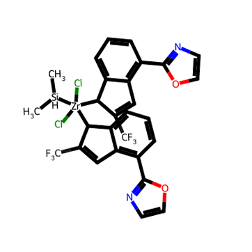 C[SiH](C)[Zr]([Cl])([Cl])([CH]1C(C(F)(F)F)=Cc2c(-c3ncco3)cccc21)[CH]1C(C(F)(F)F)=Cc2c(-c3ncco3)cccc21